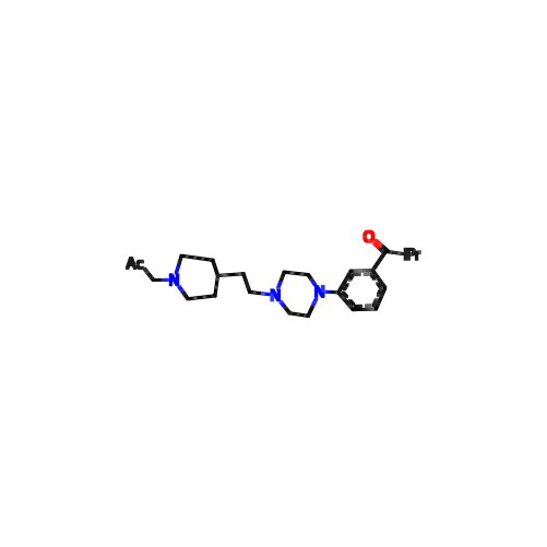 CC(=O)CN1CCC(CCN2CCN(c3cccc(C(=O)C(C)C)c3)CC2)CC1